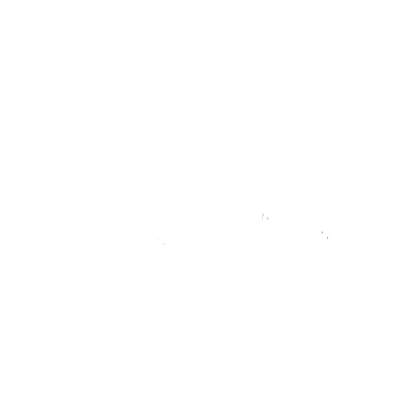 CC(C)(C)[Si](OCc1ccnc(C2CCC(=O)CC2)n1)(c1ccccc1)c1ccccc1